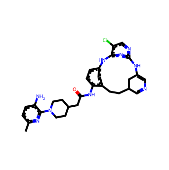 Cc1ccc(N)c(N2CCC(CC(=O)Nc3ccc4cc3CCC3C=NC=C(C3)Nc3ncc(Cl)c(n3)N4)CC2)n1